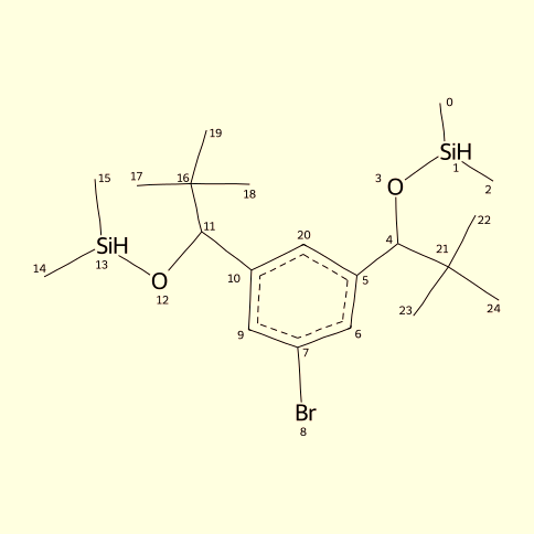 C[SiH](C)OC(c1cc(Br)cc(C(O[SiH](C)C)C(C)(C)C)c1)C(C)(C)C